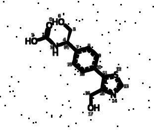 O=C(O)N[C@@H](CO)c1ccc(-c2scnc2CO)cc1